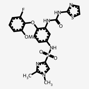 COc1cccc(F)c1Oc1ccc(NS(=O)(=O)c2cn(C)c(C)n2)cc1NC(=O)Nc1nccs1